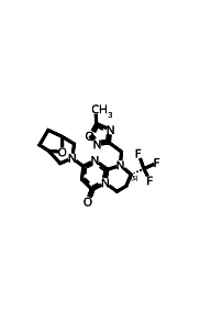 Cc1nc(CN2c3nc(N4CC5CCC(C4)O5)cc(=O)n3CC[C@H]2C(F)(F)F)no1